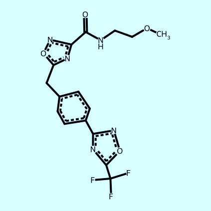 COCCNC(=O)c1noc(Cc2ccc(-c3noc(C(F)(F)F)n3)cc2)n1